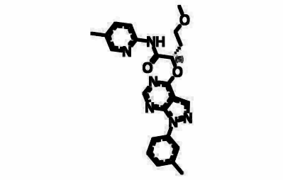 COCC[C@H](Oc1ncnc2c1cnn2-c1cccc(C)c1)C(=O)Nc1ccc(C)cn1